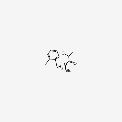 CCCCOC(=O)C(C)O.Cc1ccccc1N